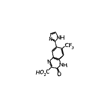 O=C(O)c1nc2cc(-c3ncc[nH]3)c(C(F)(F)F)cc2[nH]c1=O